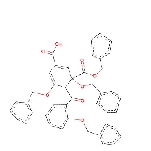 O=C(O)C1=CC(OCc2ccccc2)(C(=O)OCc2ccccc2)C(C(=O)c2ccccc2OCc2ccccc2)C(OCc2ccccc2)=C1